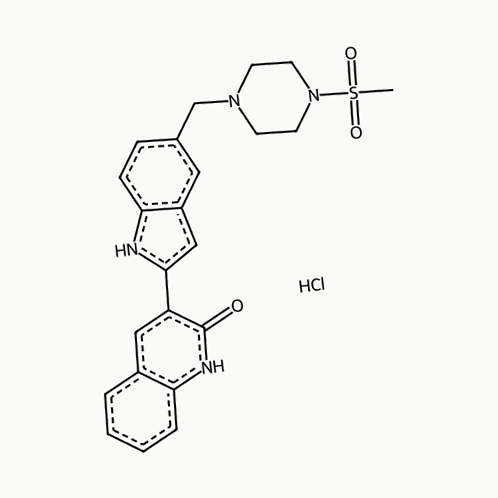 CS(=O)(=O)N1CCN(Cc2ccc3[nH]c(-c4cc5ccccc5[nH]c4=O)cc3c2)CC1.Cl